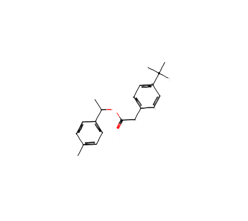 CCC(C)(C)c1ccc(CC(=O)OC(C)c2ccc(C)cc2)cc1